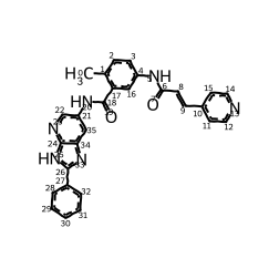 Cc1ccc(NC(=O)/C=C/c2ccncc2)cc1C(=O)Nc1cnc2[nH]c(-c3ccccc3)nc2c1